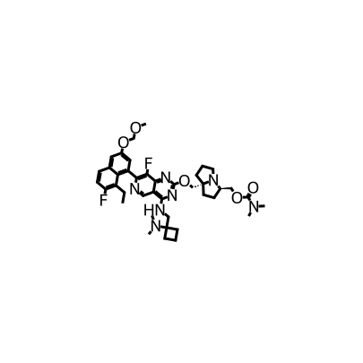 CCc1c(F)ccc2cc(OCOC)cc(-c3ncc4c(NCC5(N(C)C)CCC5)nc(OC[C@]56CCCN5[C@@H](COC(=O)N(C)C)CC6)nc4c3F)c12